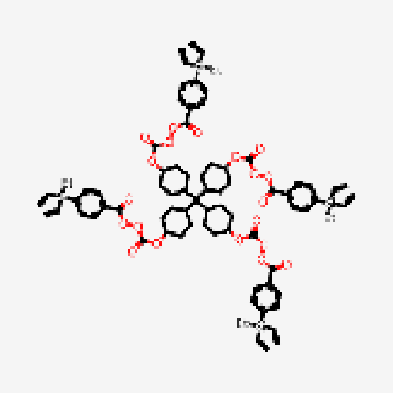 C=C[Si](C=C)(CC)c1ccc(C(=O)OOC(=O)OC2CCC(C(C3CCC(OC(=O)OOC(=O)c4ccc([Si](C=C)(C=C)CC)cc4)CC3)(C3CCC(OC(=O)OOC(=O)c4ccc([Si](C=C)(C=C)CC)cc4)CC3)C3CCC(OC(=O)OOC(=O)c4ccc([Si](C=C)(C=C)CC)cc4)CC3)CC2)cc1